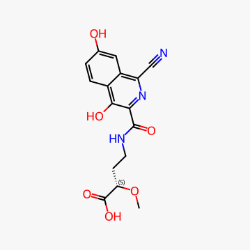 CO[C@@H](CCNC(=O)c1nc(C#N)c2cc(O)ccc2c1O)C(=O)O